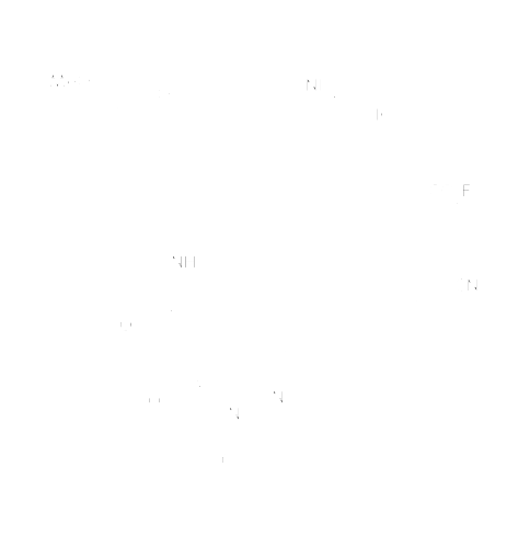 CCOC(=O)CCCN.COC(=O)CCCNC(=O)c1cc(-c2ccc(C#N)cc2)nn(C)c1=O.Cl